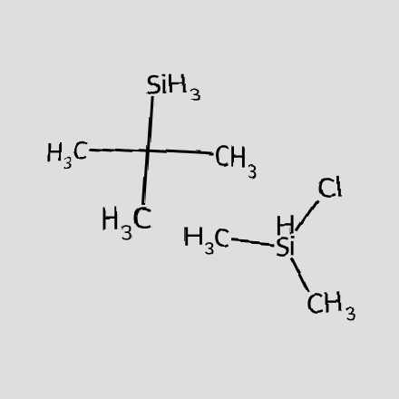 CC(C)(C)[SiH3].C[SiH](C)Cl